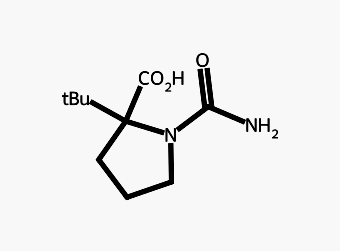 CC(C)(C)C1(C(=O)O)CCCN1C(N)=O